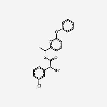 CC(SC(=O)C(c1cccc(Cl)c1)C(C)C)c1cccc(Oc2ccccc2)n1